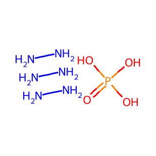 NN.NN.NN.O=P(O)(O)O